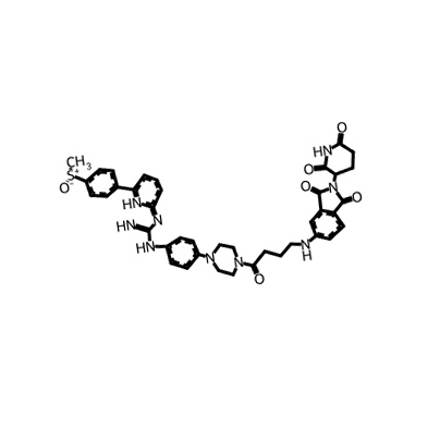 C[S+]([O-])c1ccc(-c2ccc/c(=N/C(=N)Nc3ccc(N4CCN(C(=O)CCCNc5ccc6c(c5)C(=O)N(C5CCC(=O)NC5=O)C6=O)CC4)cc3)[nH]2)cc1